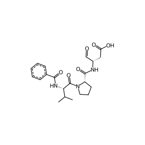 CC(C)[C@H](NC(=O)c1ccccc1)C(=O)N1CCC[C@H]1C(=O)N[C@H](C=O)CC(=O)O